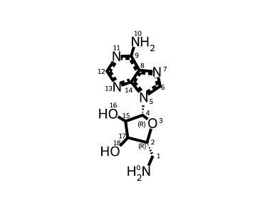 NC[C@H]1O[C@@H](n2cnc3c(N)ncnc32)C(O)C1O